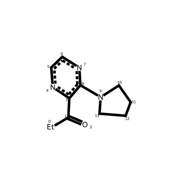 CCC(=O)c1nccnc1N1CCCC1